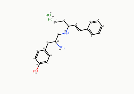 CC(C)CC(C=Cc1ccccc1)NCC(N)Cc1ccc(O)cc1.Cl.Cl